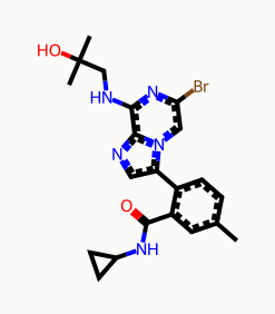 Cc1ccc(-c2cnc3c(NCC(C)(C)O)nc(Br)cn23)c(C(=O)NC2CC2)c1